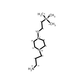 C[N+](C)(C)CCON1CCN(CCCN)CC1